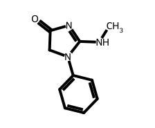 CNC1=NC(=O)CN1c1ccccc1